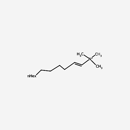 CCCCCCCCCCC=C[N+](C)(C)C